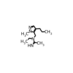 CCCc1cnn(C)c1CN(CC)C(C)=N